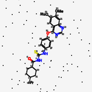 CCCC1CCC(C(=O)NC(=S)Nc2ccc(Oc3ncnc4cc(OC)c(OC)cc34)cc2)CC1